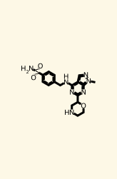 Cn1ncc2c(NCc3ccc(S(N)(=O)=O)cc3)nc(C3CNCCO3)nc21